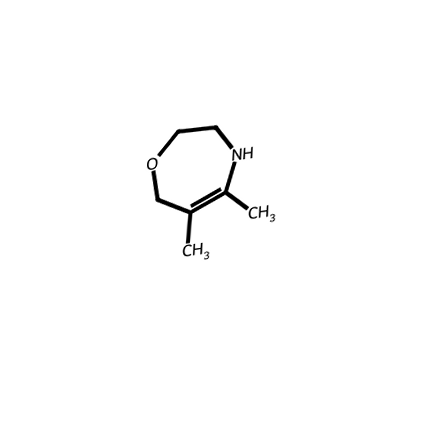 CC1=C(C)NCCOC1